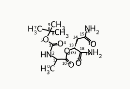 CC(NC(=O)OC(C)(C)C)C(=O)O[C@@H](CC(N)=O)C(N)=O